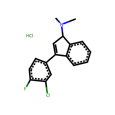 CN(C)C1C=C(c2ccc(F)c(Cl)c2)c2ccccc21.Cl